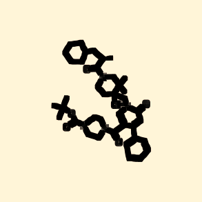 C[C@H](CC1CCCCC1)C(=O)N1CCC(O)(Cn2cc(C(=O)N3CCN(C(=O)OC(C)(C)C)CC3)c(-c3ccccc3)cc2=O)C(C)(C)C1